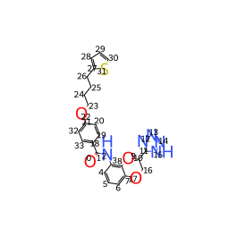 O=C(Nc1cccc2c1OC(c1nnn[nH]1)CO2)c1ccc(OCCCCc2cccs2)cc1